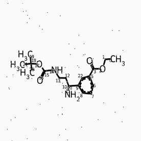 CCOC(=O)c1cccc([C@H](N)CCNC(=O)OC(C)(C)C)c1